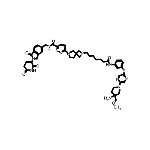 COCC1(N)CCN(c2cnc(Sc3cccc(NC(=O)CCCCCCN4CC5(CCN(c6ccc(C(=O)NCc7ccc8c(c7)CN(C7CCC(=O)NC7=O)C8=O)nn6)C5)C4)c3)cn2)CC1